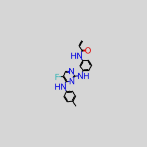 C=CC(=O)Nc1cccc(Nc2ncc(F)c(Nc3ccc(C)cc3)n2)c1